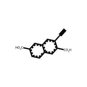 C#Cc1cc2cc(C(=O)O)ccc2cc1C(=O)O